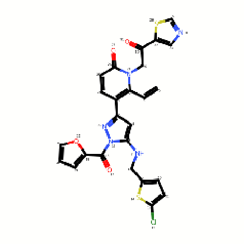 C=Cc1c(-c2cc(NCc3ccc(Cl)s3)n(C(=O)c3ccco3)n2)ccc(=O)n1CC(=O)c1cncs1